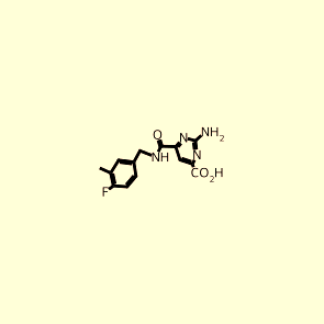 Cc1cc(CNC(=O)c2cc(C(=O)O)nc(N)n2)ccc1F